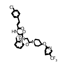 O=C(C=Cc1ccc(Cl)cc1)N[C@@H](Cc1ccccn1)C(=O)NCC(=O)N1CCC(Oc2ccc(C(F)(F)F)cn2)CC1